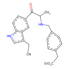 CCOC(=O)Cc1ccc(CNC(C)C(=O)c2ccc3[nH]cc(CC#N)c3c2)cc1